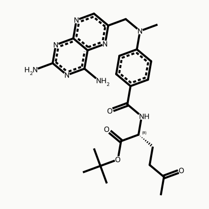 CC(=O)CC[C@@H](NC(=O)c1ccc(N(C)Cc2cnc3nc(N)nc(N)c3n2)cc1)C(=O)OC(C)(C)C